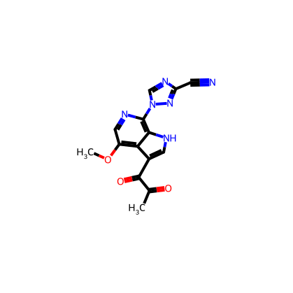 COc1cnc(-n2cnc(C#N)n2)c2[nH]cc(C(=O)C(C)=O)c12